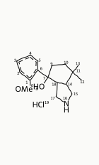 COc1ccccc1C1(O)CCC(C)(C)C2CNCC21.Cl